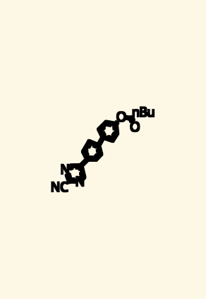 CCCCC(=O)Oc1ccc(-c2ccc(-c3cnc(C#N)nc3)cc2)cc1